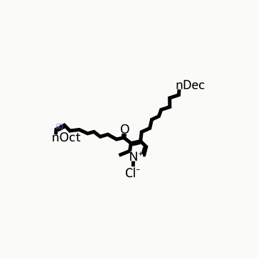 CCCCCCCC/C=C\CCCCCCCC(=O)c1c(CCCCCCCCCCCCCCCCCC)cc[n+](C)c1C.[Cl-]